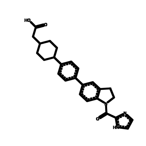 O=C(O)CC1CCC(c2ccc(-c3ccc4c(c3)CCN4C(=O)c3ncc[nH]3)cc2)CC1